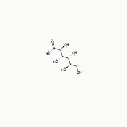 O=C(S)[C@@H](O)[C@@H](O)[C@H](O)[C@H](O)CO